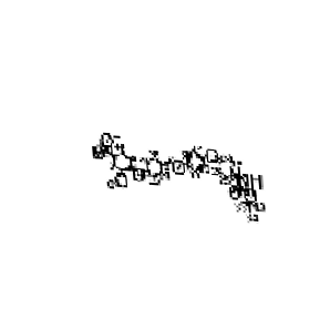 COc1cc([N+](=O)[O-])ccc1Oc1ccc(COc2ccc(OC3CCN(NC(=O)OC(C)(C)C)CC3)cc2)cc1